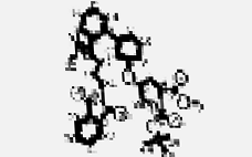 COC(=O)[C@@H]1C[C@H](Oc2cccc(-c3cccc4nn(C)c(CCCN5C(=O)c6ccccc6C5=O)c34)c2)CN1C(=O)OC(C)(C)C